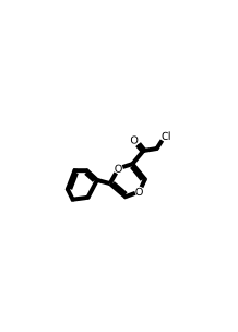 O=C(CCl)C1=COC=C(C2=CC=CCC2)O1